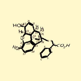 CC(C(=O)O)c1ccccc1.CN1CC[C@]23c4c5ccc(O)c4O[C@H]2[C@@H](O)C=C[C@H]3[C@H]1C5